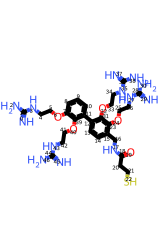 N=C(N)NCCOc1cccc(-c2ccc(CNC(=O)CCS)c(OCCNC(=N)N)c2OCCNC(=N)N)c1OCCNC(=N)N